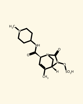 CC1=C[C@@H](C(=O)NC2CCN(C)CC2)N2C[C@@H]1N(OS(=O)(=O)O)C2=O